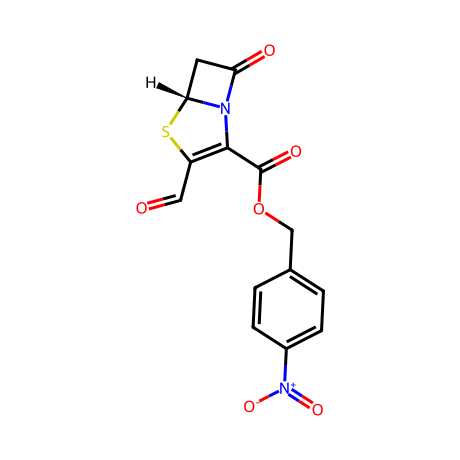 O=CC1=C(C(=O)OCc2ccc([N+](=O)[O-])cc2)N2C(=O)C[C@H]2S1